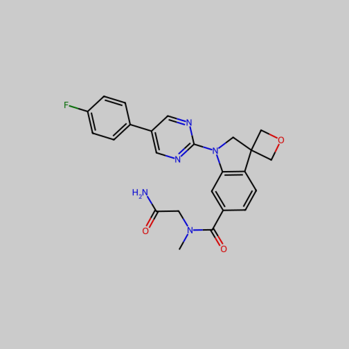 CN(CC(N)=O)C(=O)c1ccc2c(c1)N(c1ncc(-c3ccc(F)cc3)cn1)CC21COC1